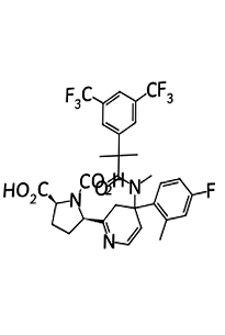 Cc1cc(F)ccc1C1(N(C)C(=O)C(C)(C)c2cc(C(F)(F)F)cc(C(F)(F)F)c2)C=CN=C([C@H]2CC[C@@H](C(=O)O)N2C(=O)O)C1